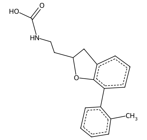 Cc1ccccc1-c1cccc2c1OC(CCNC(=O)O)C2